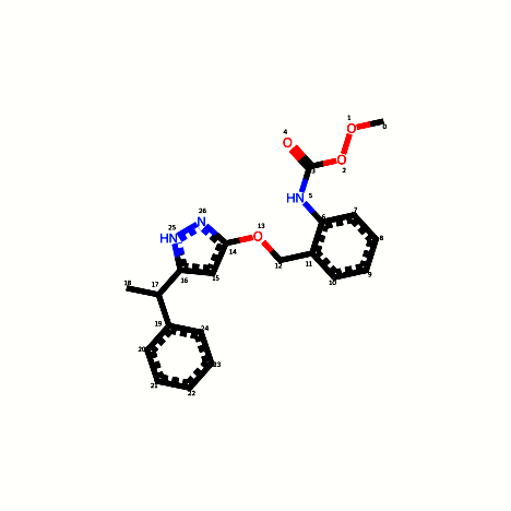 COOC(=O)Nc1ccccc1COc1cc(C(C)c2ccccc2)[nH]n1